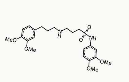 COc1ccc(CCCNCCCS(=O)(=O)Nc2ccc(OC)c(OC)c2)cc1OC